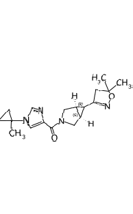 CC1(C)CC(C2[C@H]3CN(C(=O)c4cn(C5(C)CC5)cn4)C[C@@H]23)=NO1